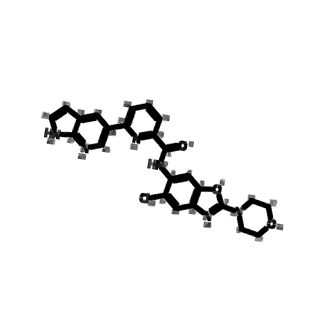 O=C(Nc1cc2oc(N3CCOCC3)nc2cc1Cl)c1cccc(-c2cnc3[nH]ccc3c2)n1